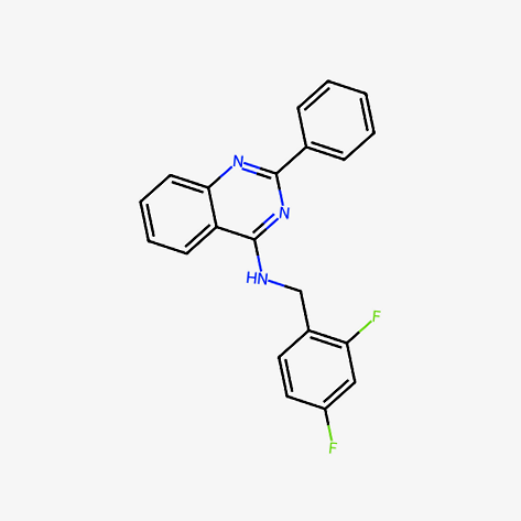 Fc1ccc(CNc2nc(-c3ccccc3)nc3ccccc23)c(F)c1